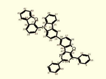 c1ccc(-c2nc(-c3ccccc3)c3oc4ccc(-c5ccc6c(c5)c5ccccc5n6-c5cccc6c5oc5ccccc56)cc4c3n2)cc1